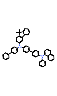 CC1(C)C2=C(C=C(N(c3ccc(-c4ccccc4)cc3)c3ccc(-c4ccc(N(c5ccccc5)c5cccc6ccccc56)cc4)cc3)CC2)c2ccccc21